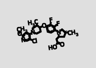 COc1cc(N2CCC(Oc3ccc(N4C[C@H](C)CC4CC(=O)O)c(F)c3F)C(C)C2)c(Cl)cn1